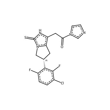 O=C(Cc1[nH]c(=S)n2c1C[C@H](c1c(F)ccc(Cl)c1F)C2)n1ccnc1